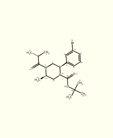 CC(C)C(=O)N1C[C@@H](c2cccc(Br)c2)N(C(=O)OC(C)(C)C)C[C@H]1C